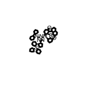 c1ccc([Si](c2ccccc2)(c2ccccc2)c2cccc(-c3nc(N4c5cccc6c5B5c7c(ccc8ccc9oc%10ccc4c5c%10c9c78)O6)nc(-n4c5ccccc5c5ccccc54)n3)c2)cc1